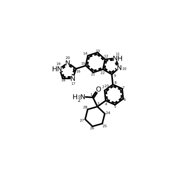 NC(=O)C1(c2cccc(-c3n[nH]c4ccc(-c5nc[nH]n5)cc34)c2)CCCCC1